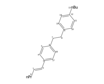 CCC/C=C/c1ccc(CCc2ccc(CCCC)cc2)cc1